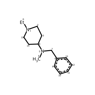 CCN1CCC(N(C)Cc2ccccc2)CC1